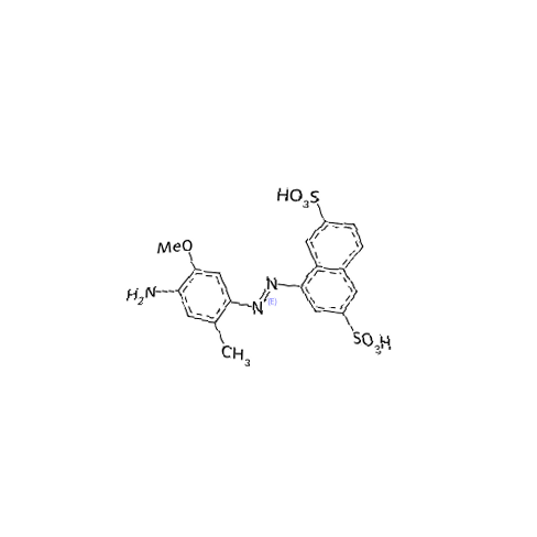 COc1cc(/N=N/c2cc(S(=O)(=O)O)cc3ccc(S(=O)(=O)O)cc23)c(C)cc1N